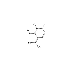 C=CN1C(=O)N(C)C=C/C1=C(/C(C)CC)C(F)(F)F